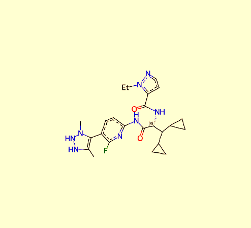 CCn1nccc1C(=O)N[C@@H](C(=O)Nc1ccc(C2=C(C)NNN2C)c(F)n1)C(C1CC1)C1CC1